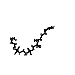 CC(C)(CCOC(C)(C)CCC(=O)NCCCN=[N+]=[N-])OCCN